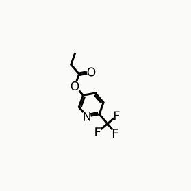 CCC(=O)Oc1ccc(C(F)(F)F)nc1